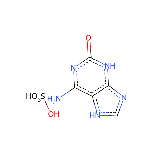 Nc1nc(=O)[nH]c2nc[nH]c12.O=S(=O)(O)O